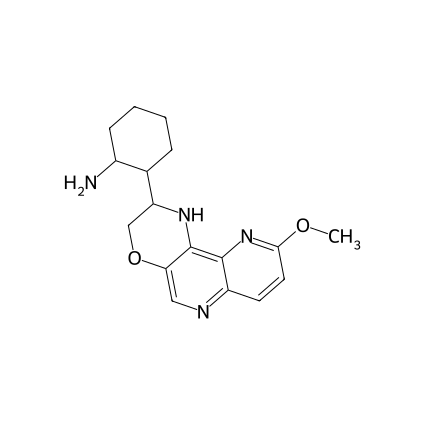 COc1ccc2ncc3c(c2n1)NC(C1CCCCC1N)CO3